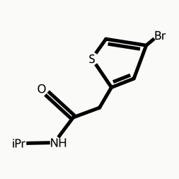 CC(C)NC(=O)Cc1cc(Br)cs1